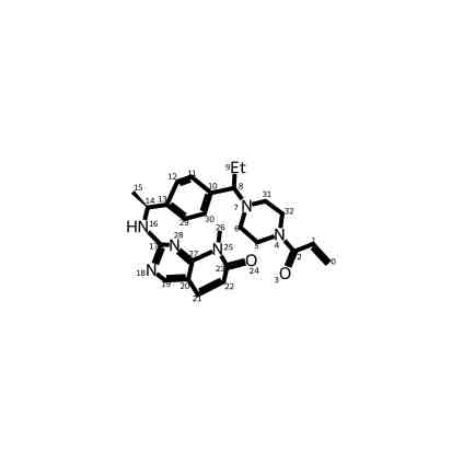 C=CC(=O)N1CCN(C(CC)c2ccc([C@H](C)Nc3ncc4ccc(=O)n(C)c4n3)cc2)CC1